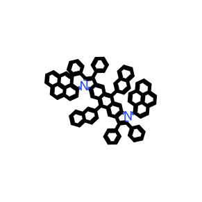 c1ccc(-c2c(-c3ccccc3)n(-c3ccc4ccc5cccc6ccc3c4c56)c3cc4c(-c5ccc6ccccc6c5)c5cc6c(-c7ccccc7)c(-c7ccccc7)n(-c7ccc8ccc9cccc%10ccc7c8c9%10)c6cc5c(-c5ccc6ccccc6c5)c4cc23)cc1